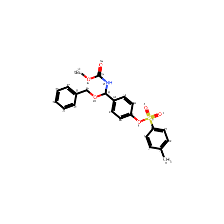 Cc1ccc(S(=O)(=O)Oc2ccc(C(NC(=O)OC(C)(C)C)OCc3ccccc3)cc2)cc1